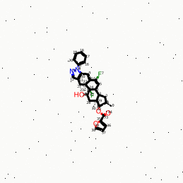 C[C@@H]1CC2C3C=C(F)C4=Cc5c(cnn5-c5ccccc5)C[C@]4(C)[C@@]3(F)[C@@H](O)C[C@]2(C)[C@@H]1OC(=O)c1ccco1